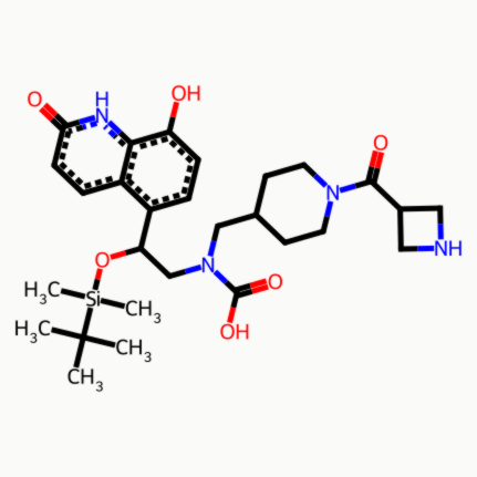 CC(C)(C)[Si](C)(C)OC(CN(CC1CCN(C(=O)C2CNC2)CC1)C(=O)O)c1ccc(O)c2[nH]c(=O)ccc12